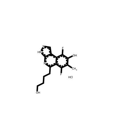 Cc1c(O)c(F)c2c(c(CCCCO)nc3[nH]ncc32)c1F.Cl